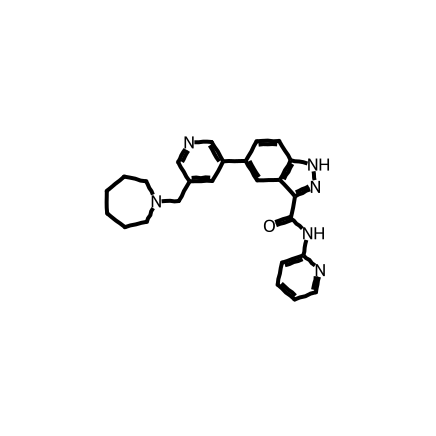 O=C(Nc1ccccn1)c1n[nH]c2ccc(-c3cncc(CN4CCCCCC4)c3)cc12